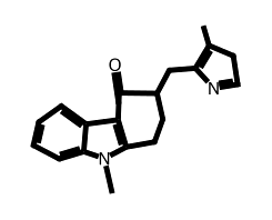 CC1=C(CC2CCc3c(c4ccccc4n3C)C2=O)N=CC1